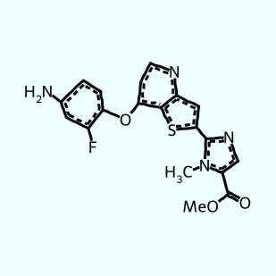 COC(=O)c1cnc(-c2cc3nccc(Oc4ccc(N)cc4F)c3s2)n1C